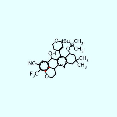 CC1(C)Cc2nc(C3CCOCC3)c([C@H](O)c3ccc(C(F)(F)F)c(C#N)c3)c(C3=CCOCC3)c2[C@@H](O[Si](C)(C)C(C)(C)C)C1